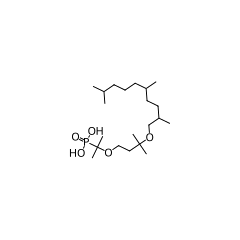 CC(C)CCCC(C)CCC(C)COC(C)(C)CCOC(C)(C)P(=O)(O)O